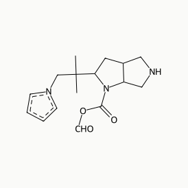 CC(C)(Cn1cccc1)C1CC2CNCC2N1C(=O)OC=O